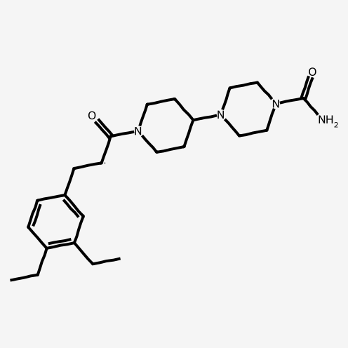 CCc1ccc(C[CH]C(=O)N2CCC(N3CCN(C(N)=O)CC3)CC2)cc1CC